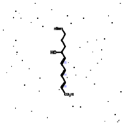 CCCCCCCCCCCCC(O)/C=C/C=C/C=C/C(=O)O